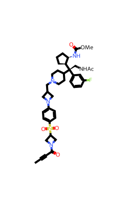 CC#CC(=O)N1CC(S(=O)(=O)c2ccc(N3CC(CN4CCC([C@@](CNC(C)=O)(c5cccc(F)c5)[C@H]5CCC[C@@H]5NC(=O)OC)CC4)C3)cc2)C1